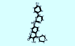 CC(=O)c1c(N2CCOCC2)c2ccc(Nc3nccc(-c4ccc(F)cc4)n3)cc2oc1=O